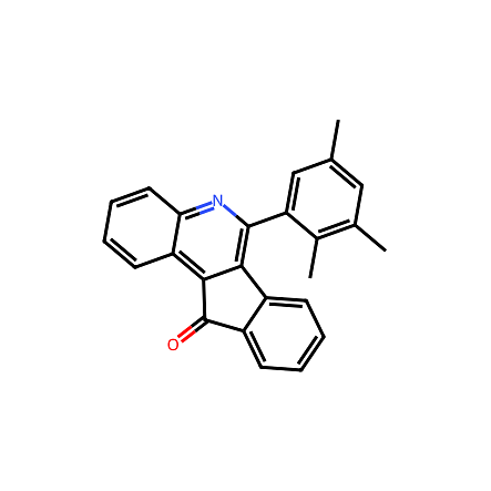 Cc1cc(C)c(C)c(-c2nc3ccccc3c3c2-c2ccccc2C3=O)c1